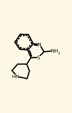 NC1N=c2ccccc2=C(C2CCNCC2)S1